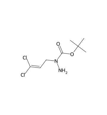 CC(C)(C)OC(=O)N(N)CC=C(Cl)Cl